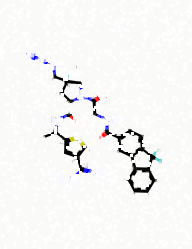 CC(NC(=O)[C@@H]1C[C@](F)(CN=[N+]=[N-])CN1C(=O)CNC(=O)c1ccc2c(c1)-c1ccccc1C2(F)F)c1cc(C(=N)N)cs1